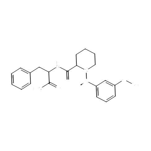 CCCOc1cccc([S@@+]([O-])N2CCCCC2C(=O)NC(Cc2ccccc2)C(N)=O)c1